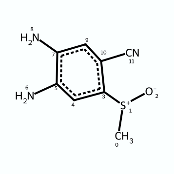 C[S+]([O-])c1cc(N)c(N)cc1C#N